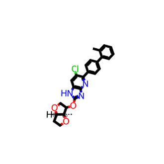 Cc1ccccc1-c1ccc(-c2nc3nc(OC4CO[C@@H]5CCO[C@]45C)[nH]c3cc2Cl)cc1